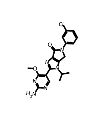 COc1nc(N)ncc1-c1nc2c(n1C(C)C)CN(c1cccc(Cl)c1)C2=O